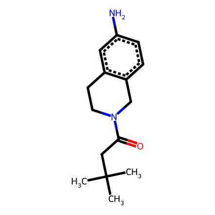 CC(C)(C)CC(=O)N1CCc2cc(N)ccc2C1